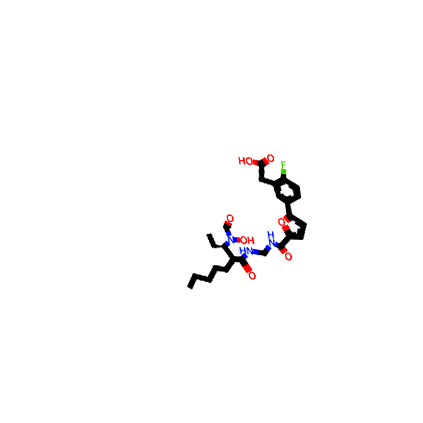 CCCCCC(C(=O)NCNC(=O)c1ccc(-c2ccc(F)c(CC(=O)O)c2)o1)[C@@H](CC)N(O)C=O